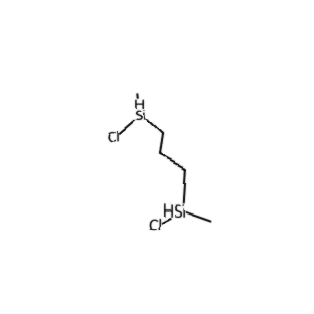 C[SiH](Cl)CCC[SiH](C)Cl